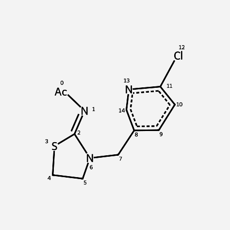 CC(=O)N=C1SCCN1Cc1ccc(Cl)nc1